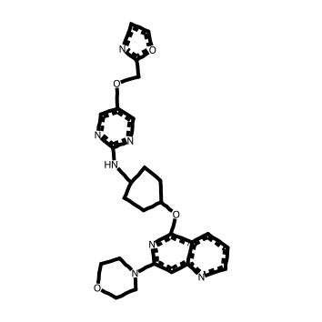 c1cnc2cc(N3CCOCC3)nc(OC3CCC(Nc4ncc(OCc5ncco5)cn4)CC3)c2c1